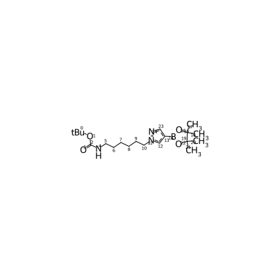 CC(C)(C)OC(=O)NCCCCCCn1cc(B2OC(C)(C)C(C)(C)O2)cn1